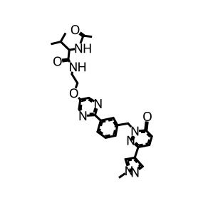 CC(=O)NC(C(=O)NCCOc1cnc(-c2cccc(Cn3nc(-c4cnn(C)c4)ccc3=O)c2)nc1)C(C)C